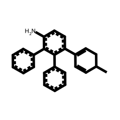 CC1C=CC(c2ccc(N)c(-c3ccccc3)c2-c2ccccc2)=CC1